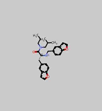 CCCN(CC(C)C)C(=O)[C@@H](Cc1ccc2occc2c1)NCc1ccc2occc2c1